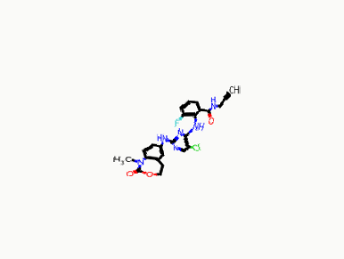 C#CCNC(=O)c1cccc(F)c1Nc1nc(Nc2ccc3c(c2)CCOC(=O)N3C)ncc1Cl